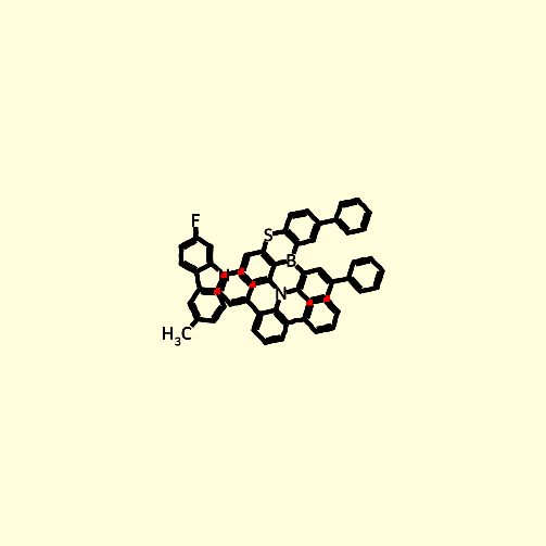 Cc1ccc2c(c1)c1ccc(F)cc1n2-c1cc2c3c(c1)N(c1c(-c4ccccc4)cccc1-c1ccccc1)c1ccc(-c4ccccc4)cc1B3c1cc(-c3ccccc3)ccc1S2